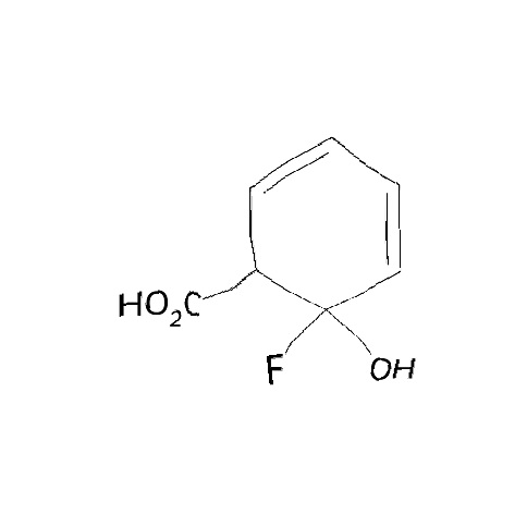 O=C(O)C1C=CC=CC1(O)F